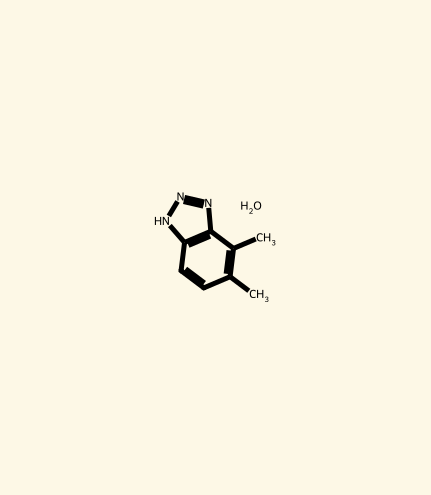 Cc1ccc2[nH]nnc2c1C.O